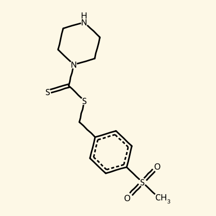 CS(=O)(=O)c1ccc(CSC(=S)N2CCNCC2)cc1